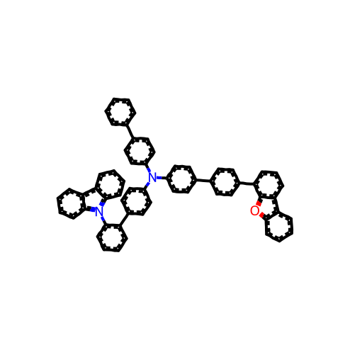 c1ccc(-c2ccc(N(c3ccc(-c4ccc(-c5cccc6c5oc5ccccc56)cc4)cc3)c3ccc(-c4ccccc4-n4c5ccccc5c5ccccc54)cc3)cc2)cc1